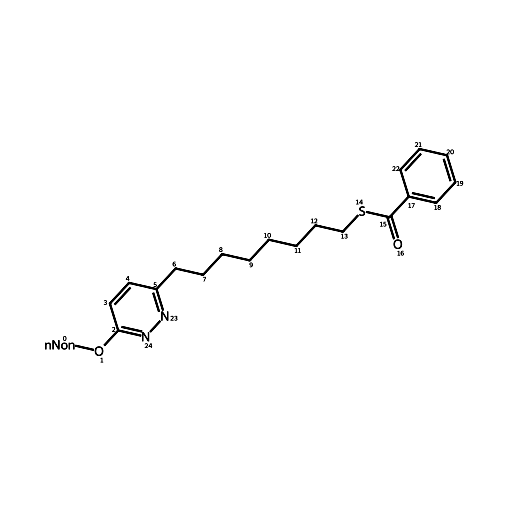 CCCCCCCCCOc1ccc(CCCCCCCCSC(=O)c2ccccc2)nn1